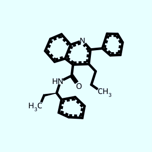 CCCc1c(-c2ccccc2)nc2ccccc2c1C(=O)N[C@H](CC)c1ccccc1